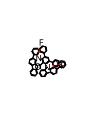 CC(C)c1c(-n2c3ccccc3c3ccc4c5ccccc5oc4c32)c(-c2ccc(F)cc2)cc(-c2ccc(F)cc2)c1-n1c2ccccc2c2ccc3c4ccccc4oc3c21